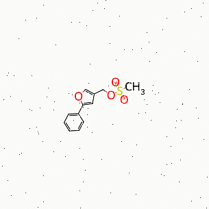 CS(=O)(=O)OCc1coc(-c2ccccc2)c1